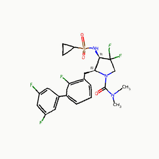 CN(C)C(=O)N1CC(F)(F)[C@H](NS(=O)(=O)C2CC2)[C@@H]1Cc1cccc(-c2cc(F)cc(F)c2)c1F